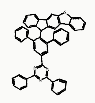 c1ccc(-c2nc(-c3ccccc3)nc(-c3cc(-c4ccccc4)c(C4c5ccccc5-c5cc6sc7ccccc7c6cc54)c(-c4ccccc4)c3)n2)cc1